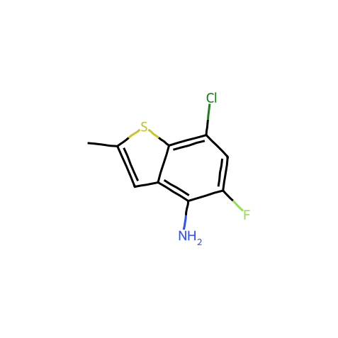 Cc1cc2c(N)c(F)cc(Cl)c2s1